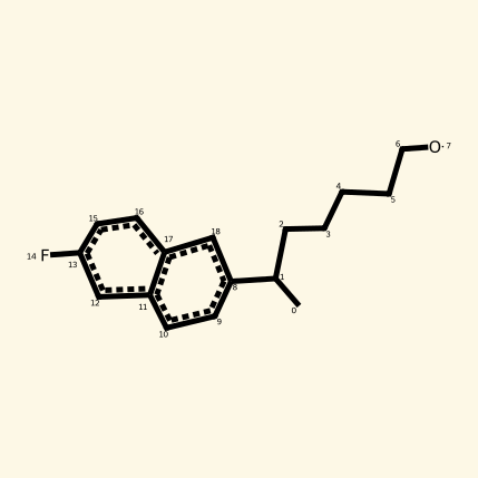 CC(CCCCC[O])c1ccc2cc(F)ccc2c1